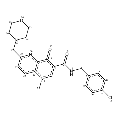 Cn1cc(C(=O)NCc2ccc(Cl)cc2)c(=O)c2nc(CN3CCOCC3)ccc21